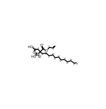 C=CCOC(=O)C(CCCCCCCCCCCC)(CC(=O)O)S(=O)(=O)O